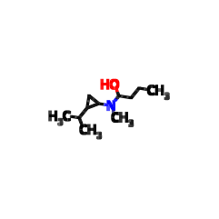 CCCC(O)N(C)C1CC1C(C)C